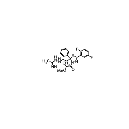 CO[C@@H](C)C(=O)N1N=C(c2cc(F)ccc2F)SC1(CCNNC(C)=N)c1ccccc1